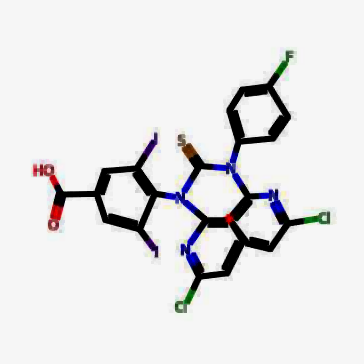 O=C(O)c1cc(I)c(N(C(=S)N(c2ccc(F)cc2)c2cccc(Cl)n2)c2cccc(Cl)n2)c(I)c1